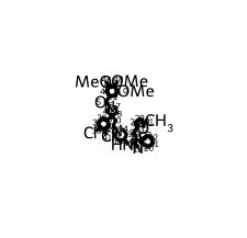 COc1cc(C(=O)N2CCC(CCN3CCC(Nc4nc5ccccc5n4Cc4ccc(C)o4)CC3)(c3ccc(Cl)c(Cl)c3)C2)cc(OC)c1OC